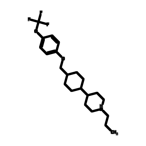 CCC[SiH]1CCC(C2CCC(COc3ccc(OC(F)(F)F)cc3)CC2)CC1